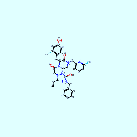 C=CCN1CC(=O)N2C(CN(Cc3cccc(F)n3)C(=O)[C@@H]2Cc2ccc(O)cc2F)N1C(=O)NCc1ccccc1